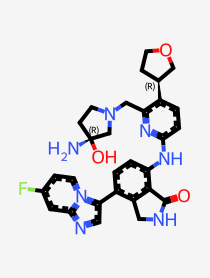 N[C@@]1(O)CCN(Cc2nc(Nc3ccc(-c4cnc5cc(F)ccn45)c4c3C(=O)NC4)ccc2[C@H]2CCOC2)C1